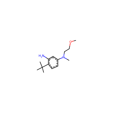 COCCN(C)c1ccc(C(C)(C)C)c(N)c1